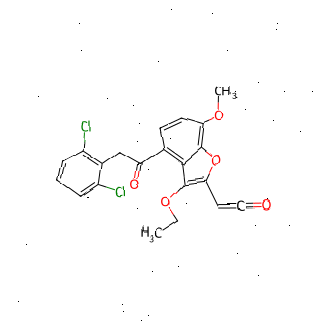 CCOc1c(C=C=O)oc2c(OC)ccc(C(=O)Cc3c(Cl)cccc3Cl)c12